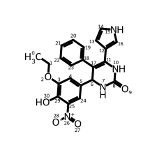 CCOc1cc(C2NC(=O)NC(c3cc[nH]c3)=C2c2ccccc2)cc([N+](=O)[O-])c1O